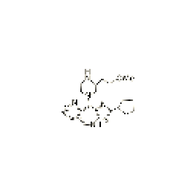 COCCC1CN(C2=c3ncccc3=CNc3sc(C4CCCC4)nc32)CCN1